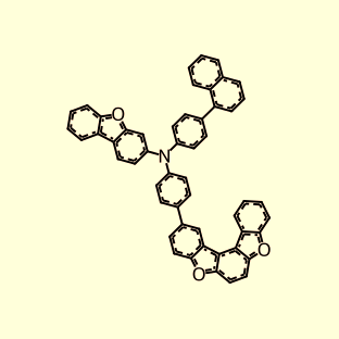 c1ccc2c(-c3ccc(N(c4ccc(-c5ccc6oc7ccc8oc9ccccc9c8c7c6c5)cc4)c4ccc5c(c4)oc4ccccc45)cc3)cccc2c1